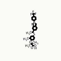 Cc1cc(SC(C)c2ccc3cn(-c4ccc(C(F)(F)F)cc4)nc3c2)ccc1OC(C)(C)C(=O)O